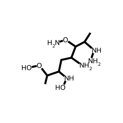 CC(NN)C(ON)C(N)CC(NO)C(C)OO